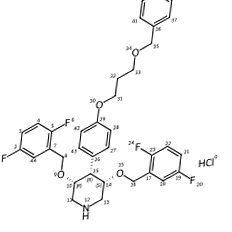 Cl.Fc1ccc(F)c(CO[C@H]2CNC[C@@H](OCc3cc(F)ccc3F)[C@H]2c2ccc(OCCCOCc3ccccc3)cc2)c1